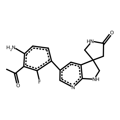 CC(=O)c1c(N)ccc(-c2cnc3c(c2)C2(CNC(=O)C2)CN3)c1F